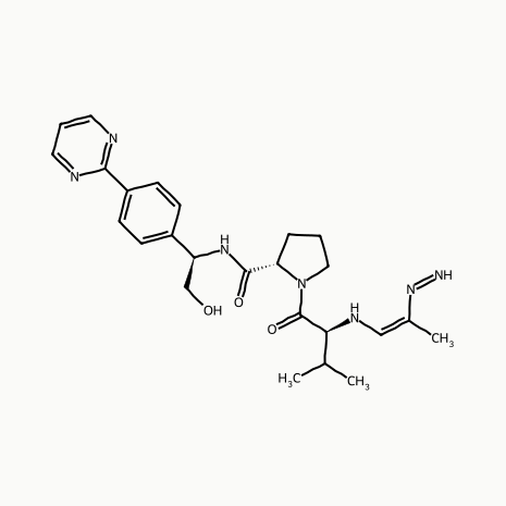 C/C(=C/N[C@H](C(=O)N1CCC[C@H]1C(=O)N[C@@H](CO)c1ccc(-c2ncccn2)cc1)C(C)C)N=N